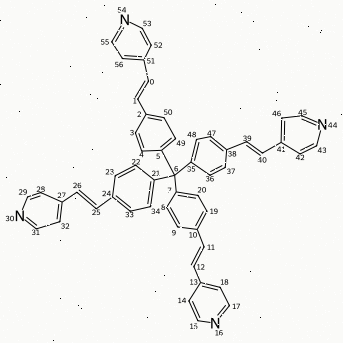 C(=Cc1ccc(C(c2ccc(C=Cc3ccncc3)cc2)(c2ccc(C=Cc3ccncc3)cc2)c2ccc(C=Cc3ccncc3)cc2)cc1)c1ccncc1